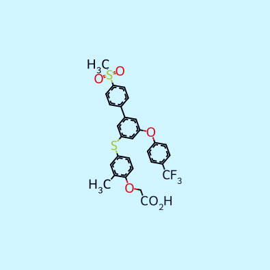 Cc1cc(Sc2cc(Oc3ccc(C(F)(F)F)cc3)cc(-c3ccc(S(C)(=O)=O)cc3)c2)ccc1OCC(=O)O